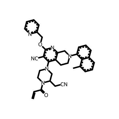 C=CC(=O)N1CCN(c2c(C#N)c(OCc3ccccn3)nc3c2CCN(c2cccc4cccc(C)c24)C3)CC1CC#N